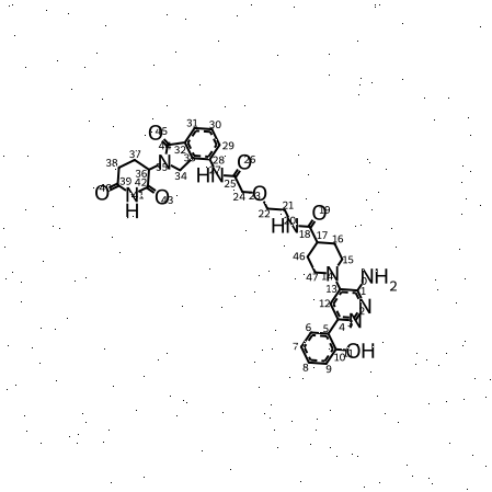 Nc1nnc(-c2ccccc2O)cc1N1CCC(C(=O)NCCOCC(=O)Nc2cccc3c2CN(C2CCC(=O)NC2=O)C3=O)CC1